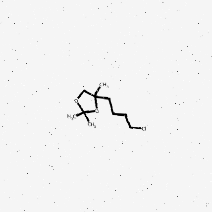 CC1(CCCCCl)COC(C)(C)O1